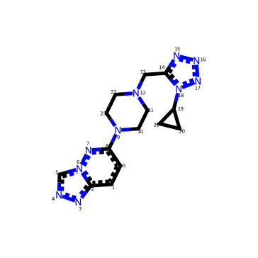 c1cc2nncn2nc1N1CCN(Cc2nnnn2C2CC2)CC1